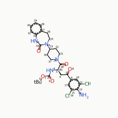 CC(C)(C)OC(=O)N[C@H](CC(=O)c1cc(Cl)c(N)c(Cl)c1)C(=O)N1CCC(N2CCc3ccccc3NC2=O)CC1